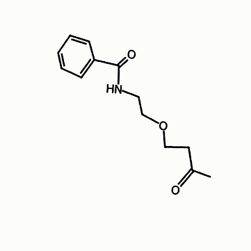 CC(=O)CCOCCNC(=O)c1ccccc1